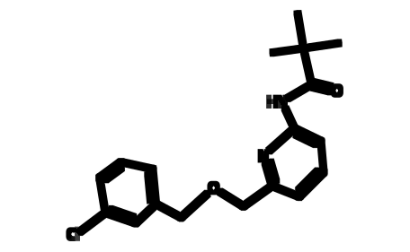 CC(C)(C)C(=O)Nc1cccc(COCc2cccc(Cl)c2)n1